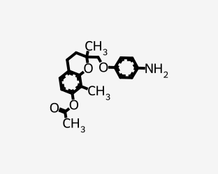 CC(=O)Oc1ccc2c(c1C)OC(C)(COc1ccc(N)cc1)CC2